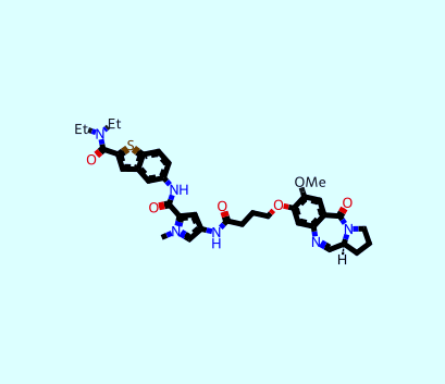 CCN(CC)C(=O)c1cc2cc(NC(=O)c3cc(NC(=O)CCCOc4cc5c(cc4OC)C(=O)N4CCC[C@H]4C=N5)cn3C)ccc2s1